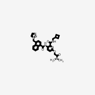 CN(C)C(=O)COc1ccc(NC(=O)c2ccc(Cn3ccnn3)c3ccccc23)c(C(=O)NCC2CCC2)n1